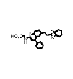 O=C(O)CNc1cc(-c2ccccc2)c2cc(CCc3nc4ccccc4o3)ccc2n1